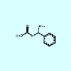 CCCCCCC(OC(=O)OC)c1ccccc1